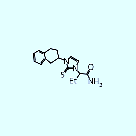 CCC(C(N)=O)n1ccn(C2CCc3ccccc3C2)c1=S